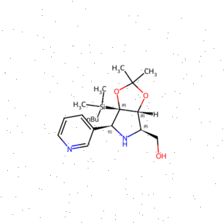 CCCC[Si](C)(C)[C@@]12OC(C)(C)O[C@@H]1[C@@H](CO)N[C@H]2c1cccnc1